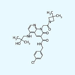 CC(C)(O)CNc1ccnc2c1cc(C(=O)NCc1ccc(Cl)cc1)c(=O)n2CC(=O)N1CC(C)(C)C1